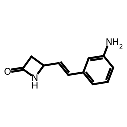 Nc1cccc(/C=C/C2CC(=O)N2)c1